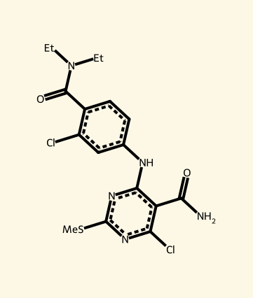 CCN(CC)C(=O)c1ccc(Nc2nc(SC)nc(Cl)c2C(N)=O)cc1Cl